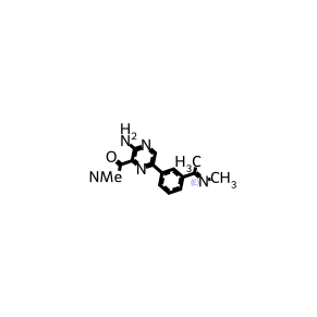 C/N=C(\C)c1cccc(-c2cnc(N)c(C(=O)NC)n2)c1